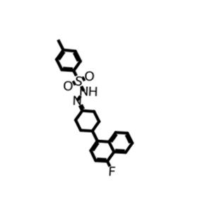 Cc1ccc(S(=O)(=O)NN=C2CCC(c3ccc(F)c4ccccc34)CC2)cc1